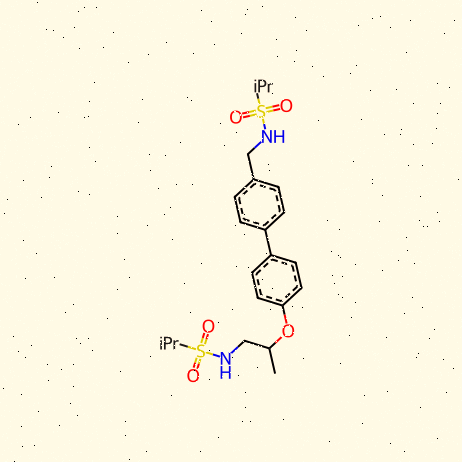 CC(CNS(=O)(=O)C(C)C)Oc1ccc(-c2ccc(CNS(=O)(=O)C(C)C)cc2)cc1